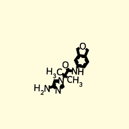 CC(C)(C(=O)Nc1ccc2c(c1)COC2)n1cnc(N)c1